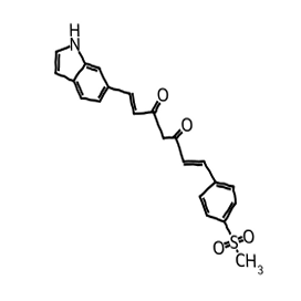 CS(=O)(=O)c1ccc(C=CC(=O)CC(=O)C=Cc2ccc3cc[nH]c3c2)cc1